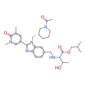 CC(=O)N1CCC[C@H](Cn2c(-c3cc(C)c(=O)n(C)c3)nc3ccc(CNC(C(=O)OCC(C)C)C(C)O)cc32)C1